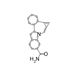 NC(=O)c1ccc2cc3n(c2c1)C=C1C=C1c1ccccc1-3